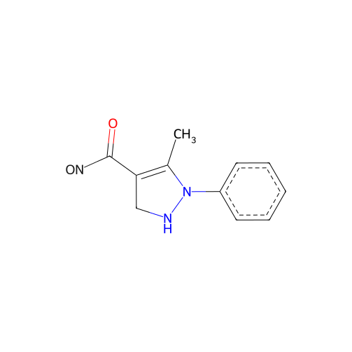 CC1=C(C(=O)N=O)CNN1c1ccccc1